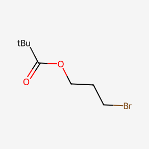 CC(C)(C)C(=O)OCCCBr